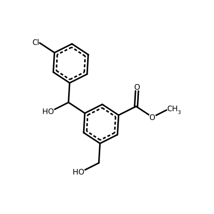 COC(=O)c1cc(CO)cc(C(O)c2cccc(Cl)c2)c1